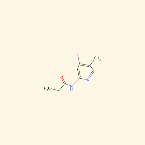 CCC(=O)Nc1cc(I)c(C)cn1